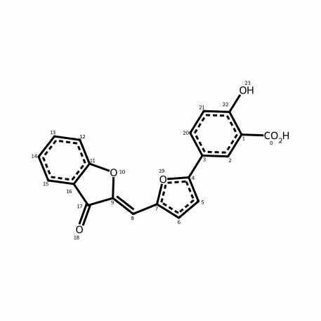 O=C(O)c1cc(-c2ccc(/C=C3\Oc4ccccc4C3=O)o2)ccc1O